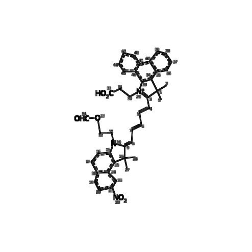 CC1(C)C(/C=C/C=C/C=C2\N(CCOC=O)c3ccc4ccc([N+](=O)[O-])cc4c3C2(C)C)=[N+](CCC(=O)O)c2c1c1ccccc1c1ccccc21